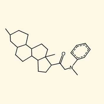 CC1CCC2C(CCC3C2CCC2(C)C(C(=O)CN(C)c4ccccc4)CCC32)C1